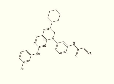 C=CC(=O)Nc1cccc(N2CC(C3CCCCC3)=Nc3cnc(Nc4cccc(C(C)=O)c4)nc32)c1